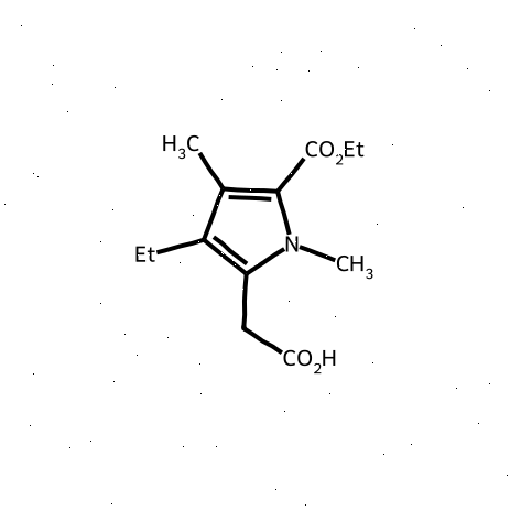 CCOC(=O)c1c(C)c(CC)c(CC(=O)O)n1C